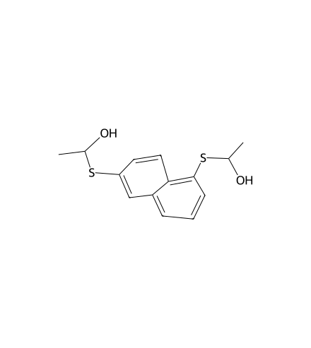 CC(O)Sc1ccc2c(SC(C)O)cccc2c1